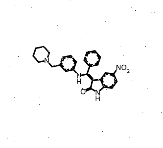 O=C1Nc2ccc([N+](=O)[O-])cc2/C1=C(/Nc1cccc(CN2CCCCC2)c1)c1ccccc1